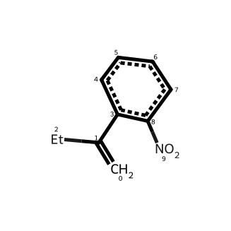 C=C(CC)c1ccccc1[N+](=O)[O-]